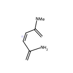 C=C(N)/C=C\C(=C)NC